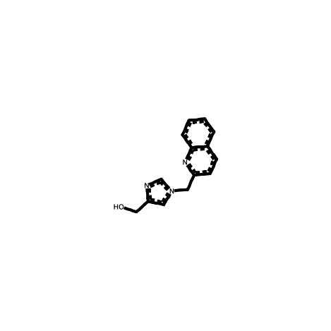 OCc1cn(Cc2ccc3ccccc3n2)cn1